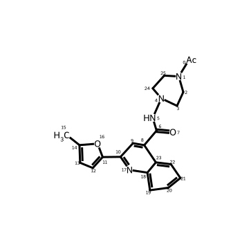 CC(=O)N1CCN(NC(=O)c2cc(-c3ccc(C)o3)nc3ccccc23)CC1